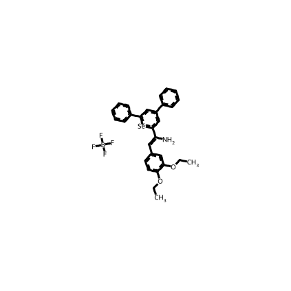 CCOc1ccc(C=C(N)c2cc(-c3ccccc3)cc(-c3ccccc3)[se+]2)cc1OCC.F[B-](F)(F)F